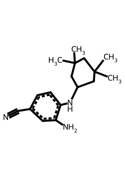 CC1(C)CC(Nc2ccc(C#N)cc2N)CC(C)(C)C1